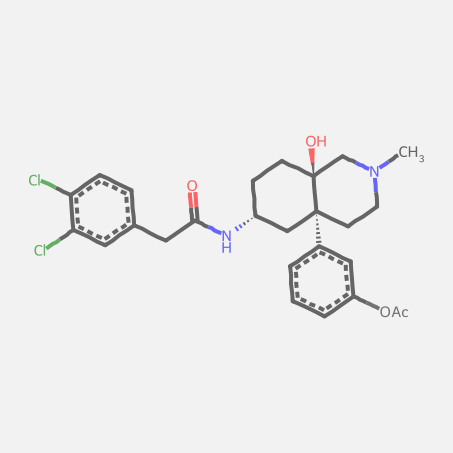 CC(=O)Oc1cccc([C@@]23CCN(C)C[C@@]2(O)CC[C@@H](NC(=O)Cc2ccc(Cl)c(Cl)c2)C3)c1